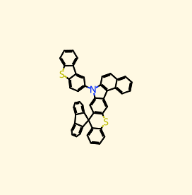 c1ccc2c(c1)Sc1cc3c4c5ccccc5ccc4n(-c4ccc5sc6ccccc6c5c4)c3cc1C21c2ccccc2-c2ccccc21